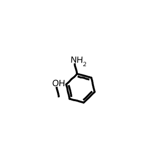 CO.Nc1ccccc1